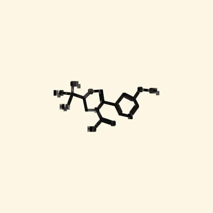 COc1cncc(C2=COC(C(C)(C)C)CN2C(=O)O)c1